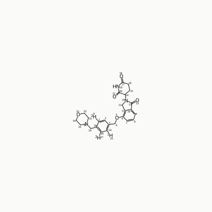 [2H]c1cc(COc2cccc3c2CN(C2CCC(=O)NC2=O)C3=O)c([2H])c([2H])c1CN1CCOCC1